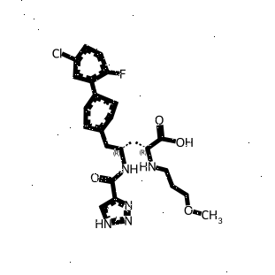 COCCCN[C@H](C[C@@H](Cc1ccc(-c2cc(Cl)ccc2F)cc1)NC(=O)c1c[nH]nn1)C(=O)O